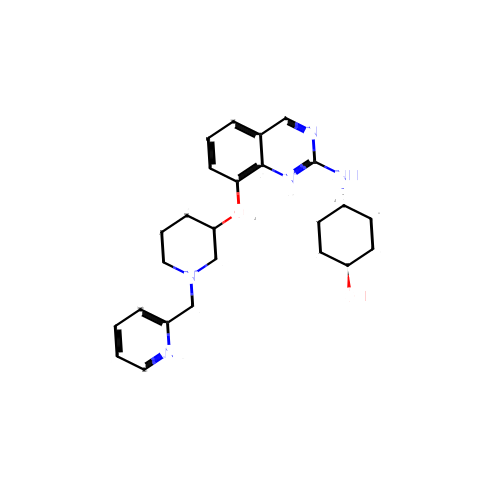 O[C@H]1CC[C@H](Nc2ncc3cccc(OC4CCCN(Cc5ccccn5)C4)c3n2)CC1